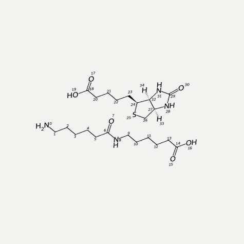 NCCCCCC(=O)NCCCCCC(=O)O.O=C(O)CCCC[C@@H]1SC[C@@H]2NC(=O)N[C@@H]21